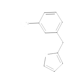 Nc1cccc(Cc2cccs2)c1